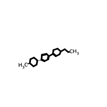 CCCC1CC=C(c2ccc([C@H]3CC[C@H](C)CC3)cc2)CC1